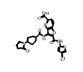 O=C(O)c1ccc2oc(C(=O)Nc3ccc(Cl)cn3)c(NC(=O)C3CCC(N4CCCC4=O)CC3)c2n1